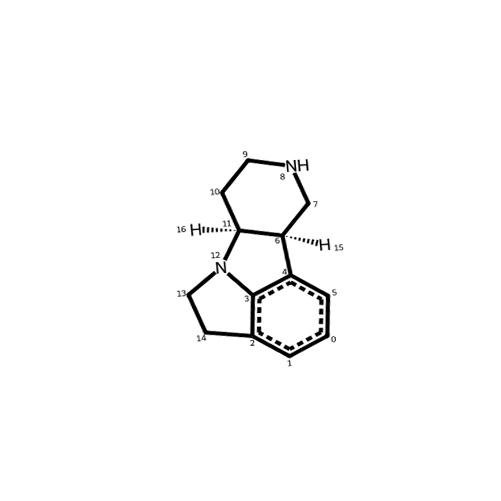 c1cc2c3c(c1)[C@@H]1CNCC[C@@H]1N3CC2